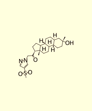 C[C@@]1(O)CC[C@H]2[C@@H](CC[C@@H]3[C@@H]2CC[C@]2(C)[C@@H](C(=O)Cn4cc(S(C)(=O)=O)cn4)CC[C@@H]32)C1